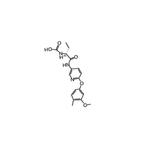 CC[C@@H](NC(=O)O)C(=O)Nc1ccc(Oc2ccc(C)c(OC)c2)nc1